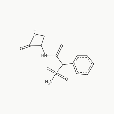 NS(=O)(=O)C(C(=O)NC1CNC1=O)c1ccccc1